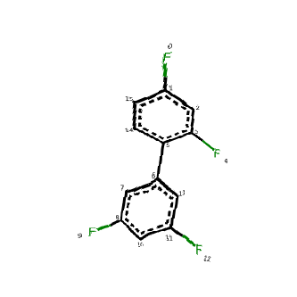 Fc1[c]c(F)c(-c2cc(F)cc(F)c2)cc1